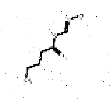 CCCCC(=O)OC=NO